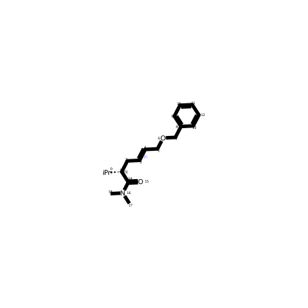 CC(C)[C@H](C/C=C/COCc1ccccc1)C(=O)N(C)C